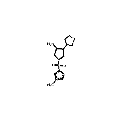 Cn1cnc(S(=O)(=O)N2CC(N)C(C3CCOC3)C2)c1